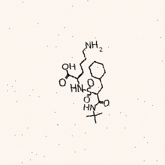 CC(C)(C)NC(=O)C(CC1CCCCC1)S(=O)(=O)NC(CCCCN)C(=O)O